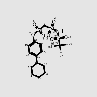 O=S(=O)(CS(=O)(=O)Oc1ccc(C2CCCCC2)cc1)NS(=O)(=O)C(F)(F)F